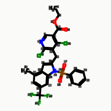 CCOC(=O)c1cnc(Cl)c(Cc2cc3c(C)cc(C(F)(F)F)cc3n2S(=O)(=O)c2ccccc2)c1Cl